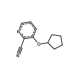 N#Cc1ncccc1OC1CCCC1